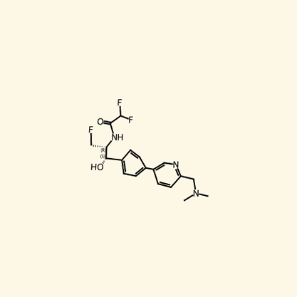 CN(C)Cc1ccc(-c2ccc([C@H](O)[C@H](CF)NC(=O)C(F)F)cc2)cn1